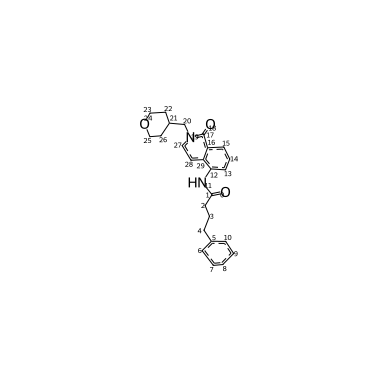 O=C(CCCc1ccccc1)Nc1cccc2c(=O)n(CC3CCOCC3)ccc12